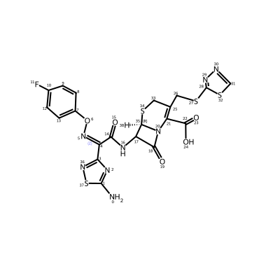 Nc1nc(/C(=N/Oc2ccc(F)cc2)C(=O)NC2C(=O)N3C(C(=O)O)=C(CSc4nncs4)CS[C@H]23)ns1